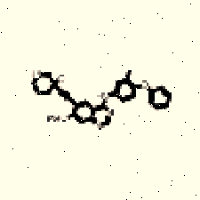 COc1cc2ncnc(Nc3ccc(Oc4ccccc4)c(C)c3)c2cc1C#CC1(O)CCCNC1